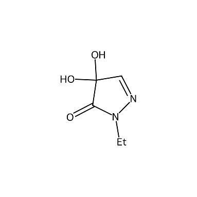 CCN1N=CC(O)(O)C1=O